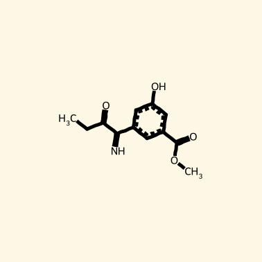 CCC(=O)C(=N)c1cc(O)cc(C(=O)OC)c1